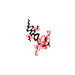 C=C(C)C(=O)OCC(COC(=O)C(=O)OCCOC)(COC(=O)C(=O)OCCOC)COc1ccc(-c2cc(OC(=O)C(=C)C)c(C3CCC(CCCCC)CC3)cc2OC(=O)C(=C)C)cc1